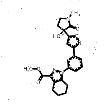 COC(=O)c1nn(-c2cccc(-c3cc([C@]4(O)CCN(C)C4=O)on3)c2)c2c1CCCC2